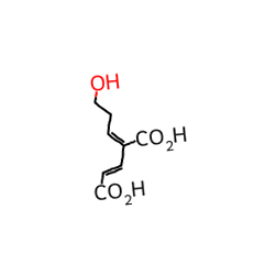 O=C(O)C=CC(=CCCO)C(=O)O